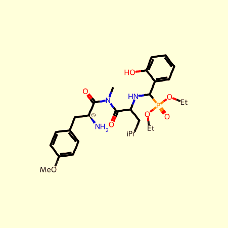 CCOP(=O)(OCC)C(NC(CC(C)C)C(=O)N(C)C(=O)[C@@H](N)Cc1ccc(OC)cc1)c1ccccc1O